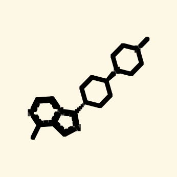 Cc1nccn2c1cnc2[C@H]1CC[C@H](N2CCN(C)CC2)CC1